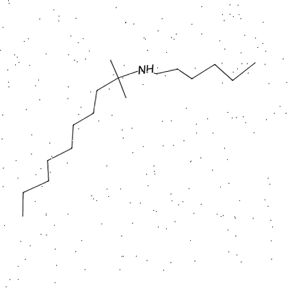 CCCCCCCCC(C)(C)NCCCCCC